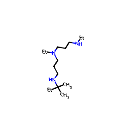 CCNCCCN(CC)CCCNC(C)(C)CC